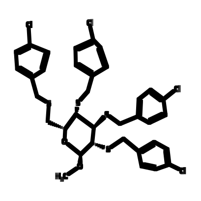 CO[C@H]1O[C@H](CSCc2ccc(Cl)cc2)[C@H](SCc2ccc(Cl)cc2)[C@@H](SCc2ccc(Cl)cc2)[C@@H]1SCc1ccc(Cl)cc1